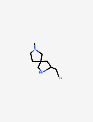 CC(C)CC1CC2(CCN(C)C2)CN1